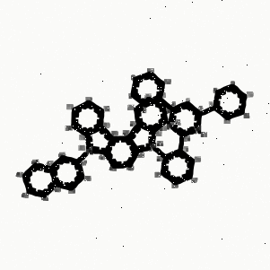 c1ccc(-c2cc(-c3ccccc3)nc(-c3ccccc3-n3c4ccccc4c4c5c6ccccc6n(-c6ccc7ccccc7c6)c5ccc43)n2)cc1